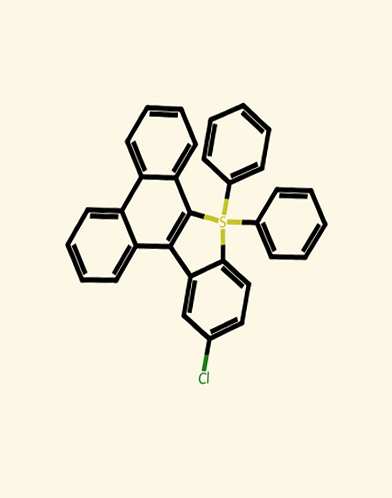 Clc1ccc2c(c1)-c1c(c3ccccc3c3ccccc13)S2(c1ccccc1)c1ccccc1